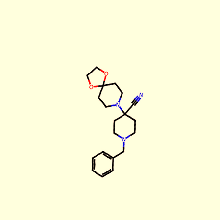 N#CC1(N2CCC3(CC2)OCCO3)CCN(Cc2ccccc2)CC1